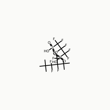 CC(C)(C)C(F)(F)C(F)(C(C)(C)C)C(F)(F)OC(F)(C(F)(F)S(=O)(=O)O)C(F)(F)S(=O)(=O)O